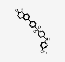 Cc1ccc(NC2CCN(S(=O)(=O)c3ccc(-c4ccc5c(c4)CCC(=O)N5)cc3)CC2)nc1